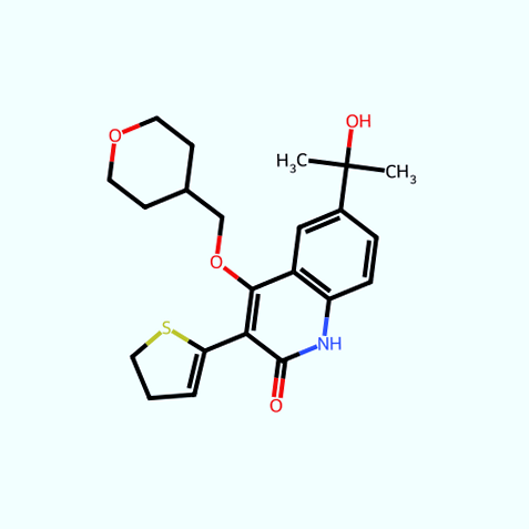 CC(C)(O)c1ccc2[nH]c(=O)c(C3=CCCS3)c(OCC3CCOCC3)c2c1